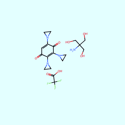 NC(CO)(CO)CO.O=C(O)C(F)(F)F.O=C1C=C(N2CC2)C(=O)C(N2CC2)=C1N1CC1